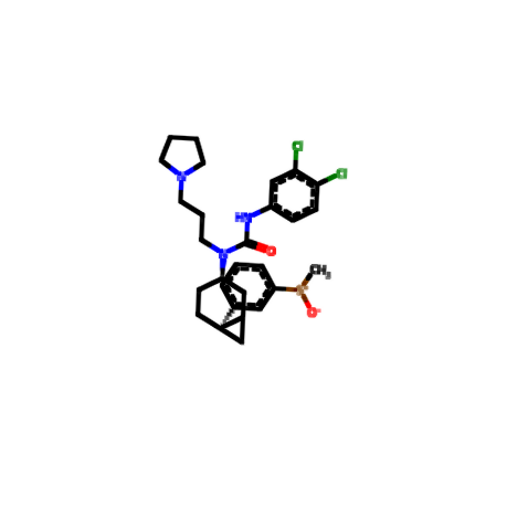 C[S+]([O-])c1cccc([C@]23CC[C@@H](N(CCCN4CCCC4)C(=O)Nc4ccc(Cl)c(Cl)c4)CC2C3)c1